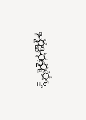 C=CC1CCC(c2ccc(-c3ccc(C(=O)Oc4ccc(C5CO5)c(F)c4F)cc3)c(F)c2F)CC1